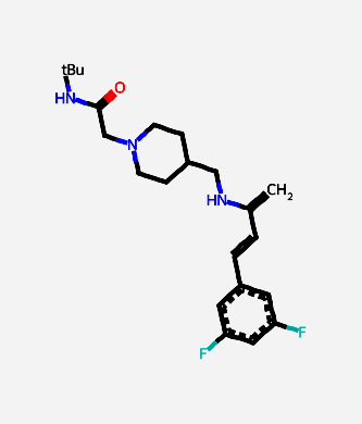 C=C(/C=C/c1cc(F)cc(F)c1)NCC1CCN(CC(=O)NC(C)(C)C)CC1